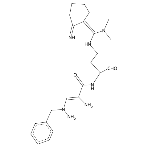 CN(C)/C(NCCC(C=O)NC(=O)/C(N)=C/N(N)Cc1ccccc1)=C1\CCCCC1=N